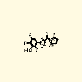 C[C@@H]1CC[C@H](C)N1C(=O)c1noc(-c2cc(F)c(F)c(O)c2F)n1